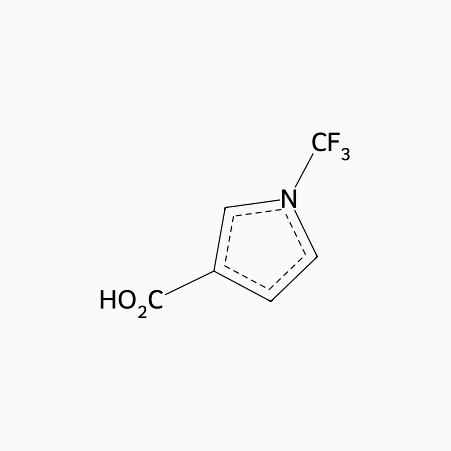 O=C(O)c1ccn(C(F)(F)F)c1